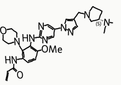 C=CC(=O)Nc1ccc(OC)c(Nc2ncc(-n3cc(CN4CC[C@H](N(C)C)C4)cn3)cn2)c1N1CCOCC1